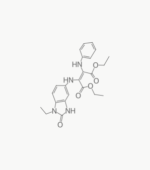 CCOC(=O)/C(Nc1ccccc1)=C(/Nc1ccc2c(c1)[nH]c(=O)n2CC)C(=O)OCC